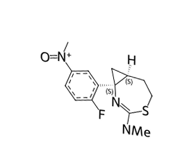 CNC1=N[C@@]2(c3cc([N+](C)=O)ccc3F)C[C@H]2CCS1